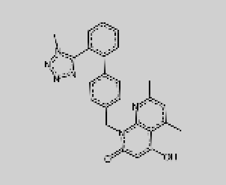 Cc1cc(C)c2c(O)cc(=O)n(Cc3ccc(-c4ccccc4-c4nnnn4C)cc3)c2n1